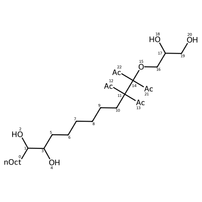 CCCCCCCCC(O)C(O)CCCCCCC(C(C)=O)(C(C)=O)C(OCC(O)CO)(C(C)=O)C(C)=O